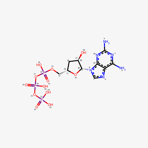 Nc1nc(N)c2ncn([C@@H]3O[C@H](COP(=O)(O)OP(=O)(O)OP(=O)(O)O)C[C@H]3O)c2n1